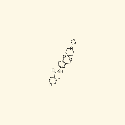 Cc1cnccc1C(=O)Nc1ccc2c(c1)COC1(CCN(C3CCC3)CC1)O2